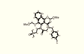 COCOc1c2c(c(OCOC)c3ncccc13)C(=O)N(Cc1ccc(F)cc1)CC(=O)N2CCP(C)(C)=O